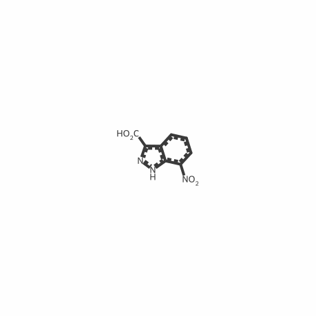 O=C(O)c1n[nH]c2c([N+](=O)[O-])cccc12